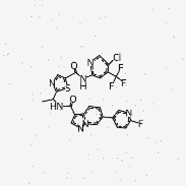 CC(NC(=O)c1cnn2cc(-c3ccc(F)nc3)ccc12)c1ncc(C(=O)Nc2cc(C(F)(F)F)c(Cl)cn2)s1